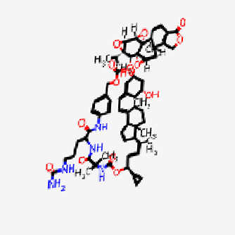 C=C1/C(=C\C=C2/CCC[C@@]3(C)C2CCC3[C@@H](C)/C=C/C(OC(=O)NC(C)(C)C(=O)NC(CCCNC(N)=O)C(=O)Nc2ccc(COC(=O)O[C@@H]3[C@@]4(C(C)C)O[C@H]4[C@@H]4O[C@]45[C@]34O[C@H]4C[C@H]3C4=C(CC[C@@]35C)C(=O)OC4)cc2)C2CC2)C[C@@H](O)C[C@@H]1O